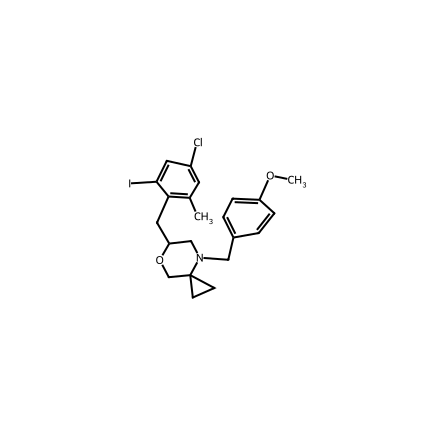 COc1ccc(CN2CC(Cc3c(C)cc(Cl)cc3I)OCC23CC3)cc1